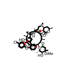 CC[C@H]1OC(=O)[C@H](C)[C@@H](O[C@H]2C[C@@](C)(OC)[C@@H](O)[C@H](C)O2)[C@H](C)[C@@H](O[C@@H]2O[C@H](C)C[C@H](N(C)CCCNC(=O)c3cc4c(s3)-c3cc(Cl)ccc3Oc3ccccc3-4)[C@H]2O)[C@](C)(O)C[C@@H](C)CN(C)[C@H](C)[C@@H](O)[C@]1(C)O